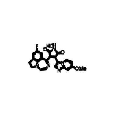 COc1ccn2c(C3=C(C4=NC=CN5CCc6cc(F)cc4c65)C(=O)NC3=O)cnc2c1.Cl